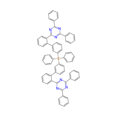 c1ccc(-c2nc(-c3ccccc3)nc(-c3ccccc3-c3cccc(S(c4ccccc4)(c4ccccc4)c4cccc(-c5ccccc5-c5nc(-c6ccccc6)nc(-c6ccccc6)n5)c4)c3)n2)cc1